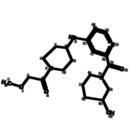 COCC(=O)N1CCC(Nc2cc(C(=O)N3CCCC(O)C3)ncn2)CC1